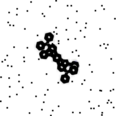 F/C=C\C=C1/Cn2c3cc4c5ccc(N(c6ccccc6)c6ccccc6)c6c7ccccc7n(c4cc3c3ccc(N(c4ccccc4)c4ccccc4)c1c32)c56